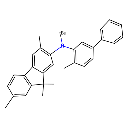 Cc1ccc2c(c1)C(C)(C)c1cc(N(c3cc(-c4ccccc4)ccc3C)C(C)(C)C)c(C)cc1-2